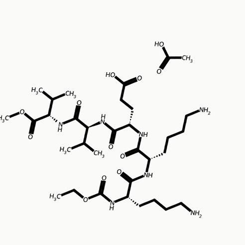 CC(=O)O.CCOC(=O)N[C@@H](CCCCN)C(=O)N[C@@H](CCCCN)C(=O)N[C@@H](CCC(=O)O)C(=O)N[C@H](C(=O)N[C@H](C(=O)OC)C(C)C)C(C)C